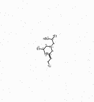 [Li][CH2]C=CCN(CC(CC)CCCC)CC(CC)CCCC